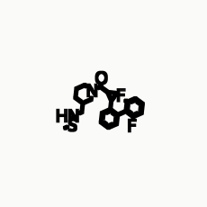 CSNCC1CCCN(C(=O)C2CC2c2ccccc2-c2c(F)cccc2F)C1